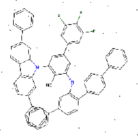 N#Cc1c(-n2c3cc(-c4ccccc4)ccc3c3ccc(-c4ccccc4)cc32)cc(-c2cc(F)c(F)c(F)c2)cc1-n1c2cc(-c3ccccc3)ccc2c2ccc(-c3ccccc3)cc21